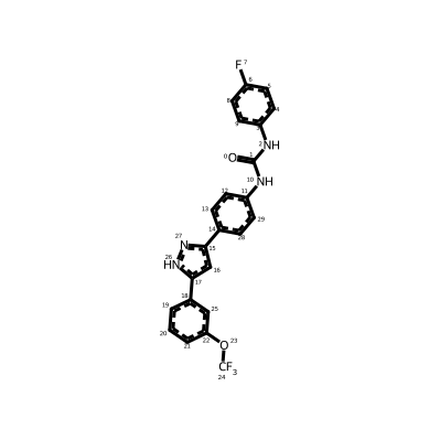 O=C(Nc1ccc(F)cc1)Nc1ccc(-c2cc(-c3cccc(OC(F)(F)F)c3)[nH]n2)cc1